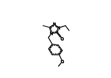 CCn1nc(C)n(Cc2ccc(OC)cc2)c1=O